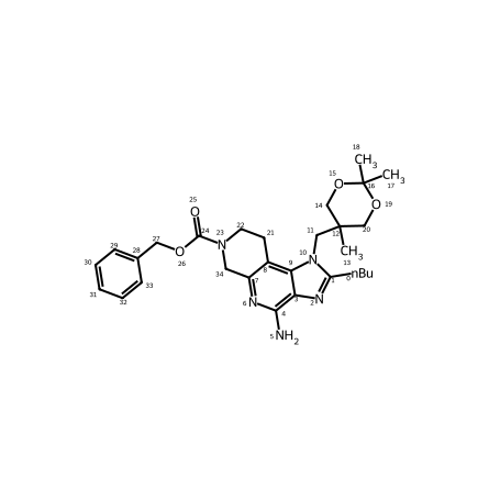 CCCCc1nc2c(N)nc3c(c2n1CC1(C)COC(C)(C)OC1)CCN(C(=O)OCc1ccccc1)C3